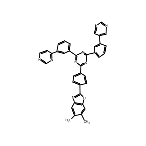 Cc1cc2nc(-c3ccc(-c4nc(-c5cccc(-c6cncnc6)c5)nc(-c5cccc(-c6ccncn6)c5)n4)cc3)oc2cc1C